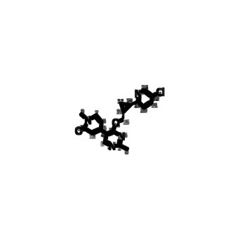 Cc1ncc(-c2ccn(C)c(=O)c2)c(OC[C@@H]2C[C@H]2c2ccc(Cl)cn2)n1